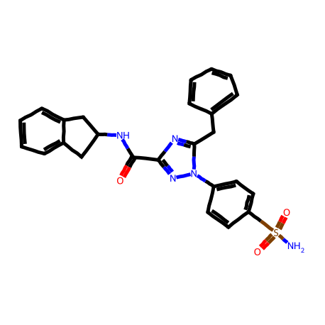 NS(=O)(=O)c1ccc(-n2nc(C(=O)NC3Cc4ccccc4C3)nc2Cc2ccccc2)cc1